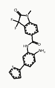 CN1C(=O)C(F)(F)c2cc(C(=O)Nc3cc(-c4cccs4)ccc3N)ccc21